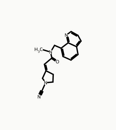 CN(Cc1cccc2cccnc12)C(=O)C=C1CCN(C#N)C1